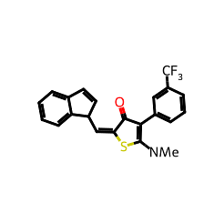 CNC1=C(c2cccc(C(F)(F)F)c2)C(=O)C(=CC2C=Cc3ccccc32)S1